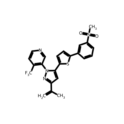 C=C(C)c1cc(-c2ccc(-c3cccc(S(C)(=O)=O)c3)s2)n(-c2cnccc2C(F)(F)F)n1